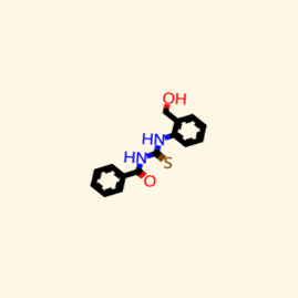 O=C(NC(=S)Nc1ccccc1CO)c1ccccc1